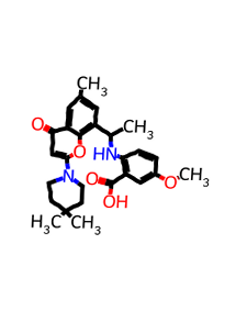 COc1ccc(NC(C)c2cc(C)cc3c(=O)cc(N4CCC(C)(C)CC4)oc23)c(C(=O)O)c1